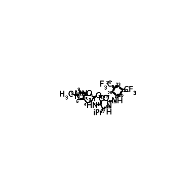 COC(=O)C(Cc1cn(C)cn1)NC(=O)C(NC(=O)Nc1cc(C(F)(F)F)cc(C(F)(F)F)c1)C(C)C